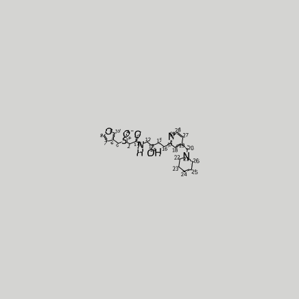 O=C(C[S+]([O-])Cc1ccoc1)NCC(O)CCc1cc(CN2CCCCC2)ccn1